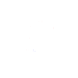 O=C(O)c1c(O)ccc([N+](=O)[O-])c1O